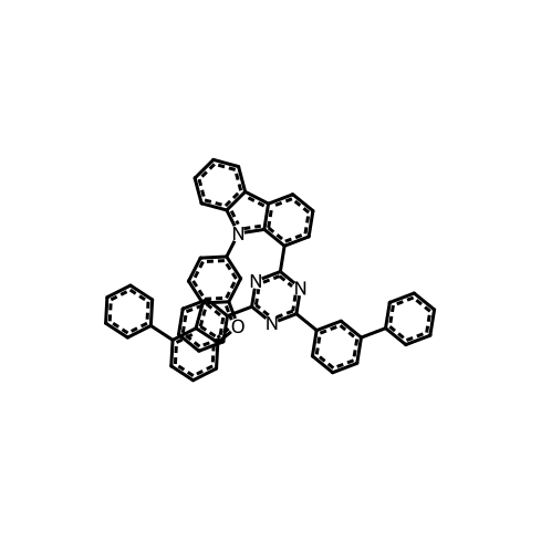 c1ccc(-c2cccc(-c3nc(-c4ccccc4)nc(-c4cccc5c6ccccc6n(-c6ccc7c(c6)oc6cccc(-c8ccccc8)c67)c45)n3)c2)cc1